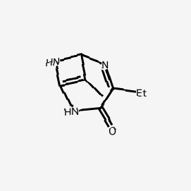 CCC1=NC2NC(=C2C)NC1=O